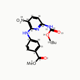 COC(=O)c1ccc(Nc2nc(NC(=O)OC(C)(C)C)ccc2[N+](=O)[O-])cc1